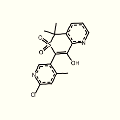 Cc1cc(Cl)ncc1C1=C(O)c2ncccc2C(C)(C)S1(=O)=O